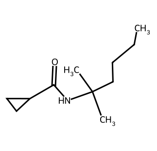 CCCCC(C)(C)NC(=O)C1CC1